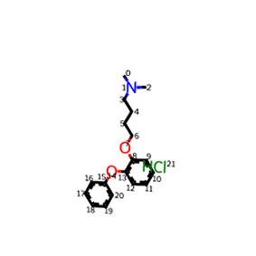 CN(C)CCCCOc1ccccc1Oc1ccccc1.Cl